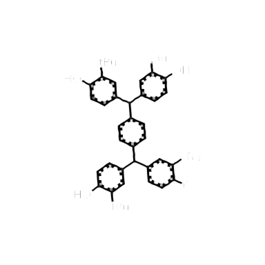 CC(C)(C)c1cc(C(c2ccc(C(c3ccc(O)c(C(C)(C)C)c3)c3ccc(O)c(C(C)(C)C)c3)cc2)c2ccc(O)c(C(C)(C)C)c2)ccc1O